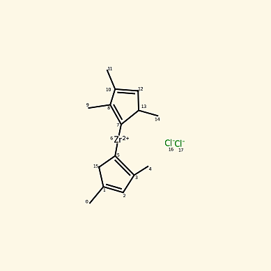 CC1=CC(C)=[C]([Zr+2][C]2=C(C)C(C)=CC2C)C1.[Cl-].[Cl-]